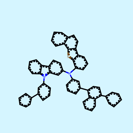 c1ccc(-c2cccc(-n3c4ccccc4c4ccc(N(c5cccc(-c6ccc(-c7ccccc7)c7ccccc67)c5)c5cccc6c5sc5c7ccccc7ccc65)cc43)c2)cc1